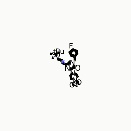 CC(C)(C)[Si](C)(C)OC/C=C/c1cn(Cc2ccc(F)cc2)c(=O)c(N2CCN(S(C)(=O)=O)CC2)n1